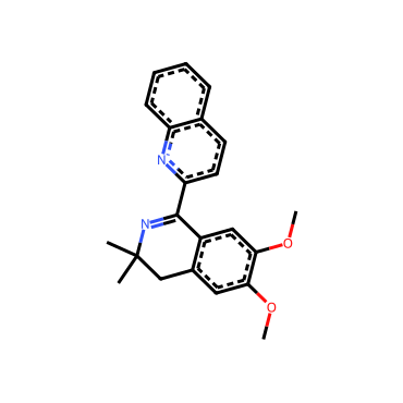 COc1cc2c(cc1OC)C(c1ccc3ccccc3n1)=NC(C)(C)C2